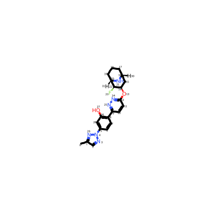 Cc1cnn(-c2ccc(-c3ccc(O[C@@H]4C[C@H]5CCC[C@H](N5)[C@@H]4F)nn3)c(O)c2)n1